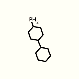 PC1CCC(C2CCCCC2)CC1